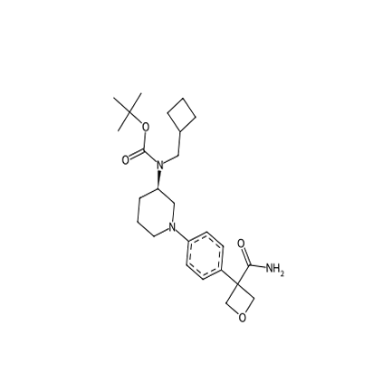 CC(C)(C)OC(=O)N(CC1CCC1)[C@@H]1CCCN(c2ccc(C3(C(N)=O)COC3)cc2)C1